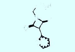 O=C(O)CN1C(=O)C(c2cccs2)C1=O